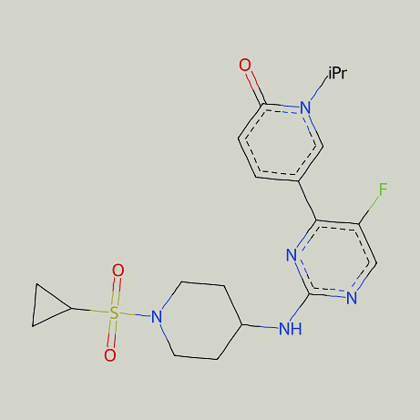 CC(C)n1cc(-c2nc(NC3CCN(S(=O)(=O)C4CC4)CC3)ncc2F)ccc1=O